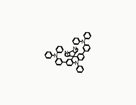 c1ccc(N(c2ccccc2)c2cccc(-c3ccc4c(c3)C3(c5cc(-c6cccc(N(c7ccccc7)c7ccccc7)c6)ccc5N4c4ccccc4)c4cccnc4-c4ncccc43)c2)cc1